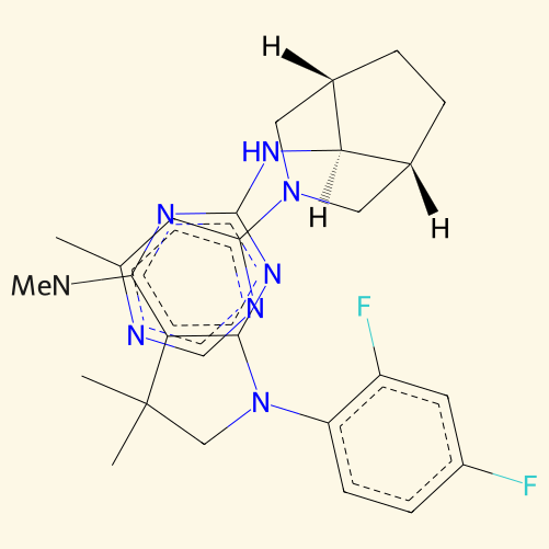 CNc1nc(N[C@@H]2[C@@H]3CC[C@H]2CN(c2cc(C)ncn2)C3)nc2c1C(C)(C)CN2c1ccc(F)cc1F